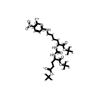 CC(C)(C)OC(=O)CCC(NC(=O)NC(CCCCNc1ccc([N+](=O)[O-])c(F)n1)C(=O)OC(C)(C)C)C(=O)OC(C)(C)C